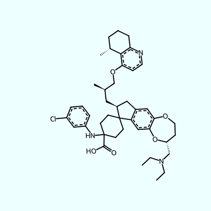 CCN(CC)C[C@H]1CCOc2cc3c(cc2O1)C1(CCC(Nc2cccc(Cl)c2)(C(=O)O)CC1)[C@@H](C[C@@H](C)COc1ccnc2c1[C@H](C)CCC2)C3